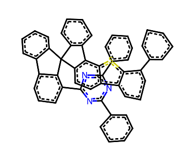 c1ccc(-c2nc(-c3ccccc3)nc(-c3cccc4c3C3(c5ccccc5-4)c4ccccc4-c4c3ccc3c4sc4c(-c5ccccc5)cccc43)n2)cc1